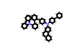 c1ccc(-c2ccc(N(c3ccc(-c4ccccc4-c4ccccc4-n4c5ccccc5c5ccccc54)cc3)c3ccc4c(ccc5ccccc54)c3)cc2)cc1